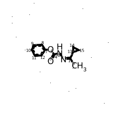 C/C(=N/NC(=O)Oc1ccccc1)C1CC1